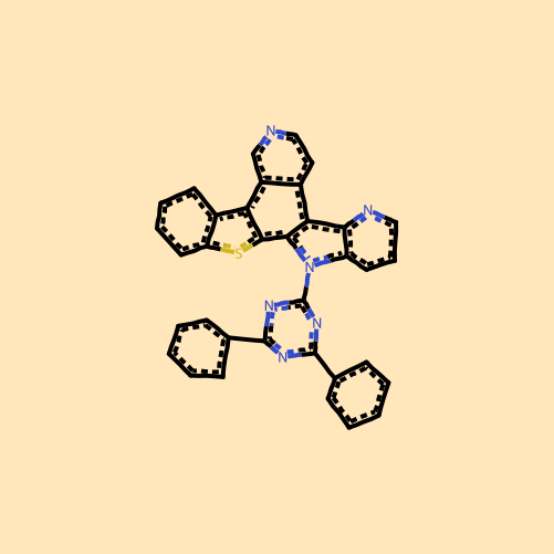 c1ccc(-c2nc(-c3ccccc3)nc(-n3c4cccnc4c4c5ccncc5c5c6ccccc6sc5c43)n2)cc1